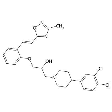 Cc1noc(C=Cc2ccccc2OCC(O)CN2CCC(c3ccc(Cl)c(Cl)c3)CC2)n1